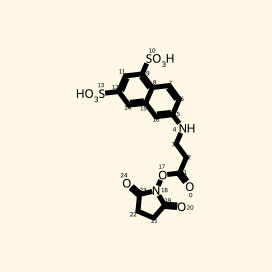 O=C(CCNc1ccc2c(S(=O)(=O)O)cc(S(=O)(=O)O)cc2c1)ON1C(=O)CCC1=O